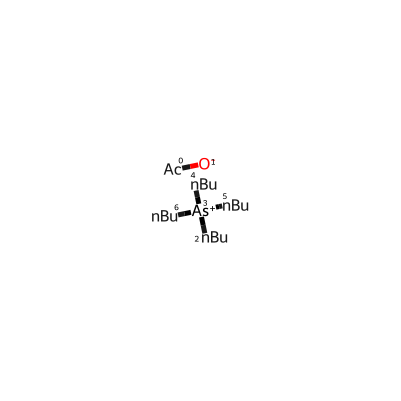 CC(=O)[O-].CCCC[As+](CCCC)(CCCC)CCCC